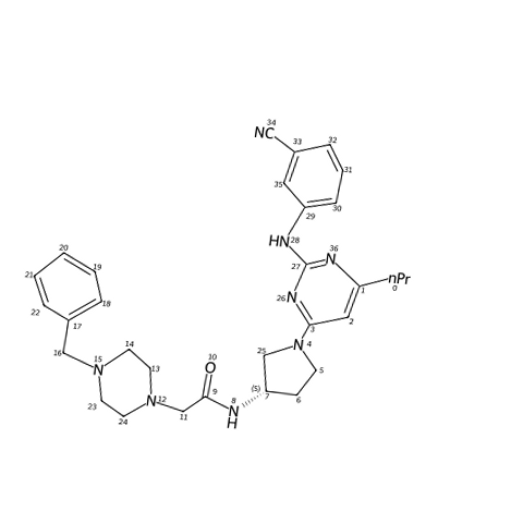 CCCc1cc(N2CC[C@H](NC(=O)CN3CCN(Cc4ccccc4)CC3)C2)nc(Nc2cccc(C#N)c2)n1